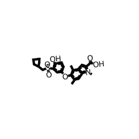 Cc1cc2c(cc(C(=O)O)n2C)c(C)c1Oc1ccc(O)c(S(=O)(=O)CC2CCC2)c1